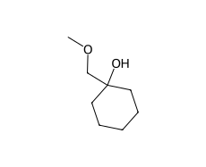 COCC1(O)CCCCC1